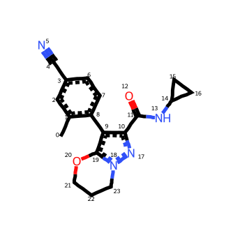 Cc1cc(C#N)ccc1-c1c(C(=O)NC2CC2)nn2c1OCCC2